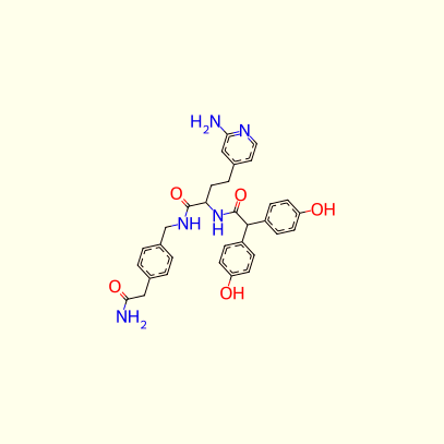 NC(=O)Cc1ccc(CNC(=O)C(CCc2ccnc(N)c2)NC(=O)C(c2ccc(O)cc2)c2ccc(O)cc2)cc1